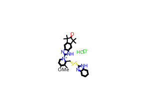 COc1cc[n+](-c2nc3cc4c(cc3[nH]2)C(C)(C)C(=O)C4(C)C)c(CSSc2nc3ccccc3[nH]2)c1C.Cl.[Cl-]